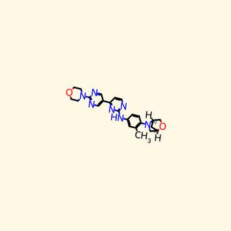 Cc1cc(Nc2nccc(-c3cnc(N4CCOCC4)nc3)n2)ccc1N1C[C@@H]2C[C@H]1CO2